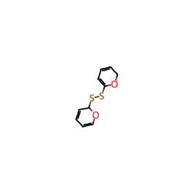 C1=CCOC(SSC2C=CC=CO2)=C1